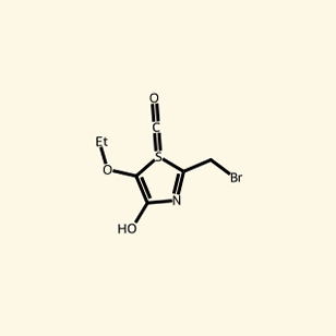 CCOC1=C(O)N=C(CBr)S1=C=O